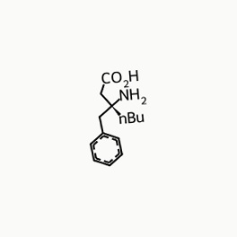 CCCC[C@](N)(CC(=O)O)Cc1ccccc1